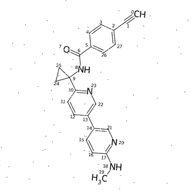 C#Cc1ccc(C(=O)NC2(c3ccc(-c4ccc(NC)nc4)cn3)CC2)cc1